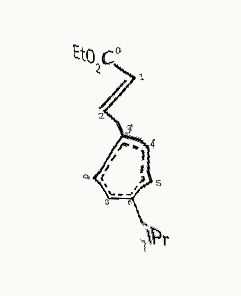 CCOC(=O)/C=C/c1ccc(C(C)C)cc1